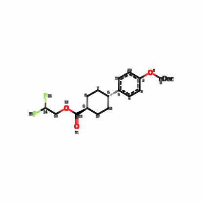 CCCCCCCCCCOc1ccc([C@H]2CC[C@H](C(=O)OCC(F)F)CC2)cc1